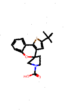 CC(C)(C)c1cc2c(s1)-c1ccccc1OC21CCN(C(=O)O)C1